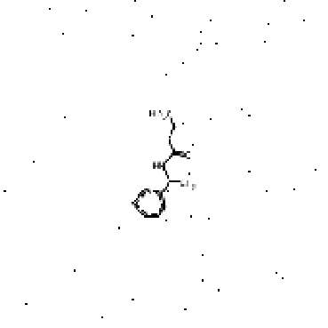 CC(NC(=O)CCC(=O)O)c1ccccc1